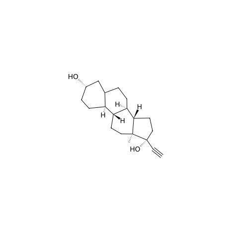 C#C[C@]1(O)CC[C@H]2[C@@H]3CCC4C[C@@H](O)CC[C@@H]4[C@H]3CC[C@@]21C